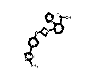 Nc1nc(-c2ccc(OC3CN(c4cccc(C(=O)O)c4-n4cccc4)C3)cc2)cs1